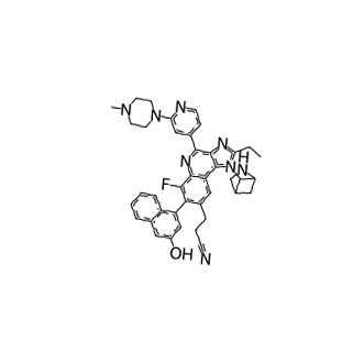 CCc1nc2c(-c3ccnc(N4CCN(C)CC4)c3)nc3c(F)c(-c4cc(O)cc5ccccc45)c(CCC#N)cc3c2n1C1C2CNC1C2